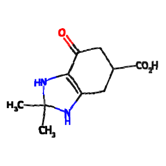 CC1(C)NC2=C(N1)C(=O)CC(C(=O)O)C2